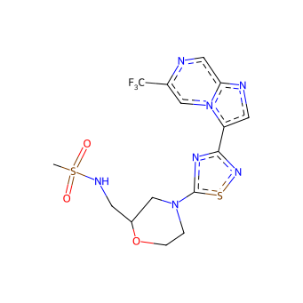 CS(=O)(=O)NCC1CN(c2nc(-c3cnc4cnc(C(F)(F)F)cn34)ns2)CCO1